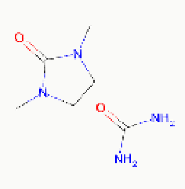 CN1CCN(C)C1=O.NC(N)=O